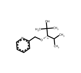 CC(C)[C@H](OCc1ccccn1)C(C)(C)O